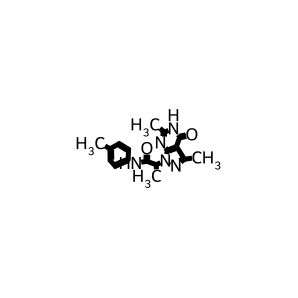 Cc1ccc(NC(=O)C(C)n2nc(C)c3c(=O)[nH]c(C)nc32)cc1